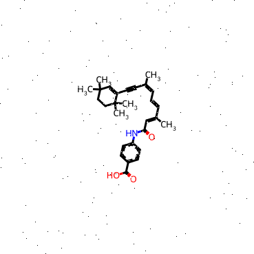 CC(C#CC1=CC(C)(C)CCC1(C)C)=CC=CC(C)=CC(=O)Nc1ccc(C(=O)O)cc1